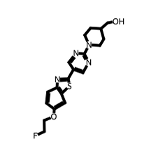 OCC1CCN(c2ncc(-c3nc4ccc(OCCF)cc4s3)cn2)CC1